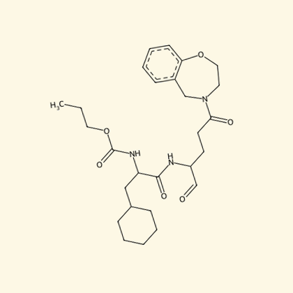 CCCOC(=O)NC(CC1CCCCC1)C(=O)NC(C=O)CCC(=O)N1CCOc2ccccc2C1